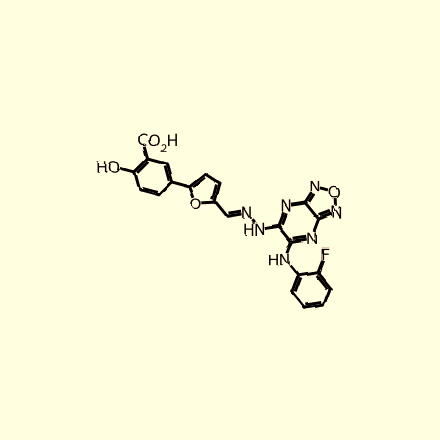 O=C(O)c1cc(-c2ccc(C=NNc3nc4nonc4nc3Nc3ccccc3F)o2)ccc1O